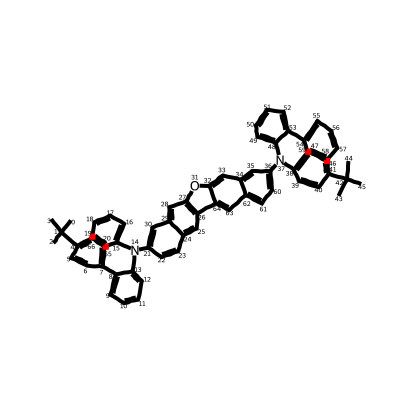 CC(C)(C)c1ccc(-c2ccccc2N(c2ccccc2)c2ccc3cc4c(cc3c2)oc2cc3cc(N(c5ccc(C(C)(C)C)cc5)c5ccccc5-c5ccccc5)ccc3cc24)cc1